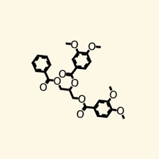 COc1ccc(C(=O)OCC(COC(=O)c2ccccc2)OC(=O)c2ccc(OC)c(OC)c2)cc1OC